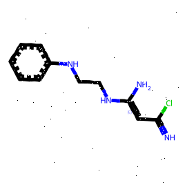 N=C(Cl)/C=C(\N)NCCNc1ccccc1